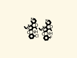 CCn1nc(-c2cccnc2)c(C(C)=O)c(Nc2ccccc2Cl)c1=O.CCn1nc(-c2cccnc2)c(C(C)=O)c(Nc2ccccc2F)c1=O